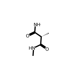 CNC(=O)[C@@H](C)C([NH])=O